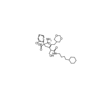 NC(=O)C(CC(=CCC1COCOC1)C(CO)C(=O)NCCCCC1CCCCC1)(C(=O)O)c1ccccc1Cl